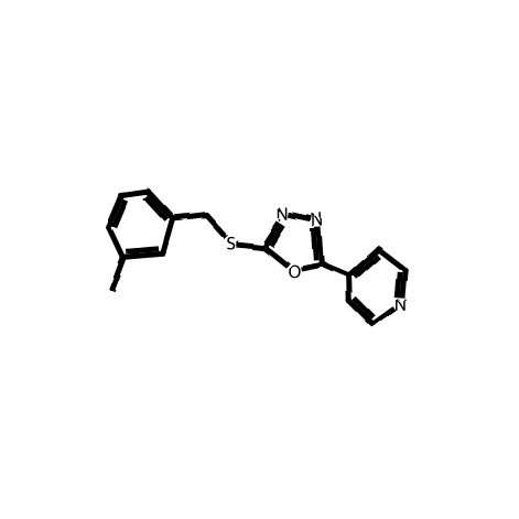 Cc1cccc(CSc2nnc(-c3ccncc3)o2)c1